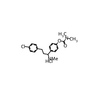 CNC(CCc1ccc(Cl)cc1)c1ccc(OC(=O)N(C)C)cc1.Cl